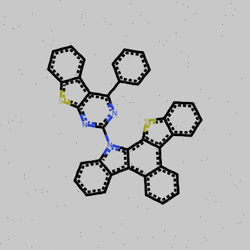 c1ccc(-c2nc(-n3c4ccccc4c4c5ccccc5c5c6ccccc6sc5c43)nc3sc4ccccc4c23)cc1